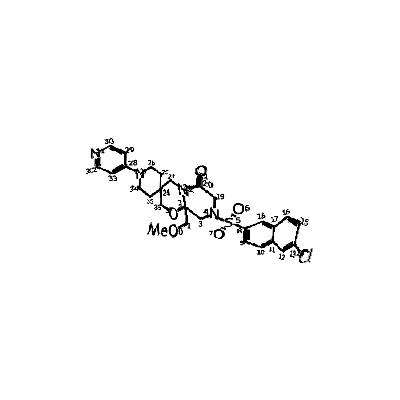 COCC12CN(S(=O)(=O)c3ccc4cc(Cl)ccc4c3)CC(=O)N1CC1(CCN(c3ccncc3)CC1)CO2